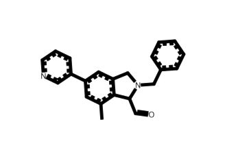 Cc1cc(-c2cccnc2)cc2c1C(C=O)N(Cc1ccccc1)C2